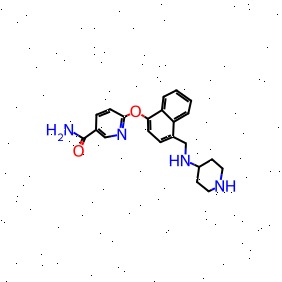 NC(=O)c1ccc(Oc2ccc(CNC3CCNCC3)c3ccccc23)nc1